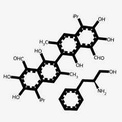 Cc1cc2c(C(C)C)c(O)c(O)c(C=O)c2c(O)c1-c1c(C)cc2c(C(C)C)c(O)c(O)c(C=O)c2c1O.N[C@H](CO)Cc1ccccc1